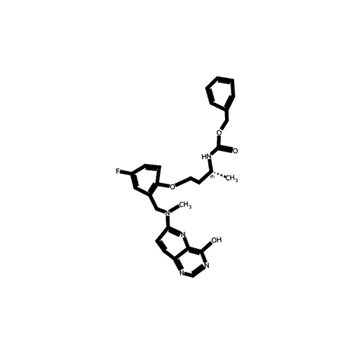 C[C@H](CCOc1ccc(F)cc1CN(C)c1ccc2ncnc(O)c2n1)NC(=O)OCc1ccccc1